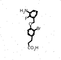 Nc1cccc(COc2ccc(CCC(=O)O)cc2Br)c1F